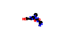 CN(C)c1cc(-c2nc(C(=O)Nc3cn4cc(CCC(C)(C)O)nc4cc3N3CCCCC3)co2)ccn1